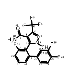 Cn1nc(C(F)(F)F)c(C(N)=O)c1-c1c(F)cccc1-c1ccc(F)c(F)c1